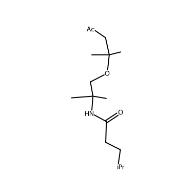 CC(=O)CC(C)(C)OCC(C)(C)NC(=O)CCC(C)C